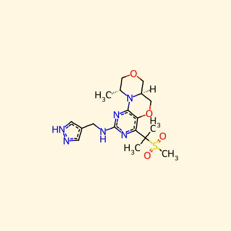 C[C@@H]1COC[C@H]2COc3c(nc(NCc4cn[nH]c4)nc3C(C)(C)S(C)(=O)=O)N21